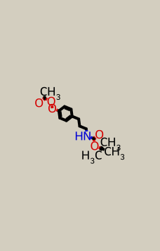 CC(=O)OOc1ccc(CCCNC(=O)OC(C)(C)C)cc1